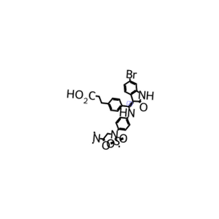 CN(C)C(=O)CN(c1ccc(N/C(=C2\C(=O)Nc3cc(Br)ccc32)c2ccc(CCC(=O)O)cc2)cc1)S(C)(=O)=O